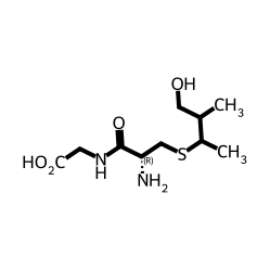 CC(CO)C(C)SC[C@H](N)C(=O)NCC(=O)O